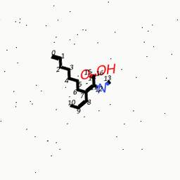 C=CCCCCCC(/C=C\C)=C(/N=C)C(=O)O